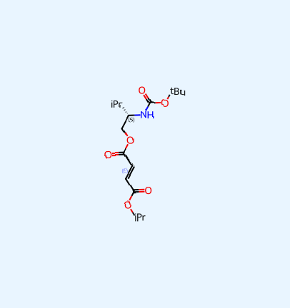 CC(C)OC(=O)/C=C/C(=O)OC[C@@H](NC(=O)OC(C)(C)C)C(C)C